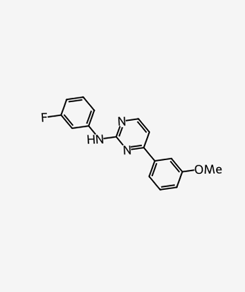 COc1cccc(-c2ccnc(Nc3cccc(F)c3)n2)c1